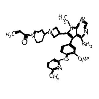 C=CC(=O)N1CCC(N2CC(c3c(-c4ccc(Oc5cccc(C)n5)c(OC)c4)c4c(N)ncnc4n3C)C2)CC1